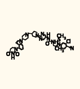 CSCN(c1ccc(C#N)c(Cl)c1)[C@H](C)CNC(=O)Nc1cnc(N2CCC(CN3CCC(n4ccc5c(N6CCC(=O)NC6=O)cccc54)CC3)CC2)nc1